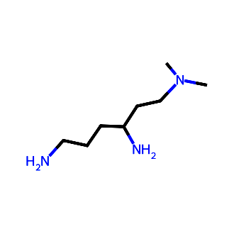 CN(C)CCC(N)CCCN